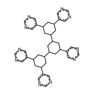 c1ncc(C2CC(c3cncnc3)CC(C3CC(c4cncnc4)CC(C4CC(c5cncnc5)CC(c5cncnc5)C4)C3)C2)cn1